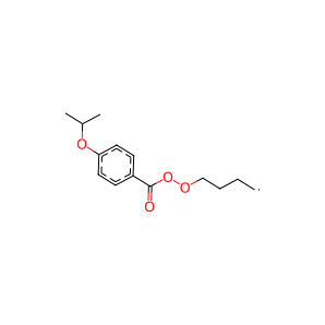 [CH2]CCCOOC(=O)c1ccc(OC(C)C)cc1